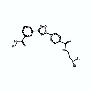 CCN(CC)CCNC(=O)c1ccc(-c2cc(-c3cccc(C(=O)NC(C)C)c3)no2)cc1